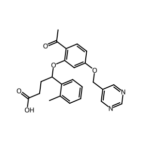 CC(=O)c1ccc(OCc2cncnc2)cc1OC(CCC(=O)O)c1ccccc1C